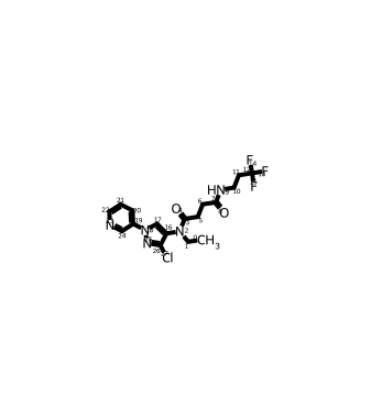 CCN(C(=O)CCC(=O)NCCC(F)(F)F)c1cn(-c2cccnc2)nc1Cl